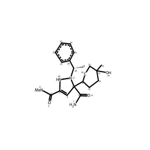 CNC(=O)C1=CC(C(N)=O)(C2CCC(C)(O)CC2)N([C@@H](C)c2ccccc2)N1